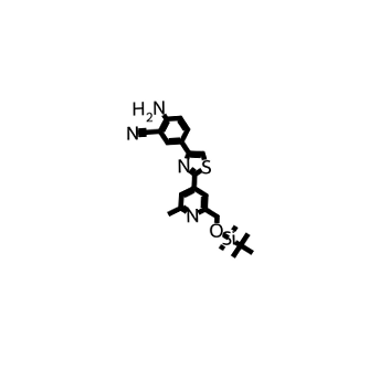 Cc1cc(-c2nc(-c3ccc(N)c(C#N)c3)cs2)cc(CO[Si](C)(C)C(C)(C)C)n1